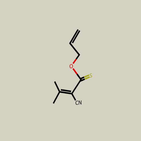 C=CCOC(=S)C(C#N)=C(C)C